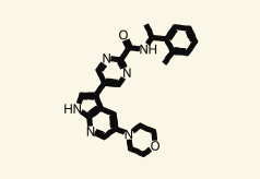 Cc1ccccc1C(C)NC(=O)c1ncc(-c2c[nH]c3ncc(N4CCOCC4)cc23)cn1